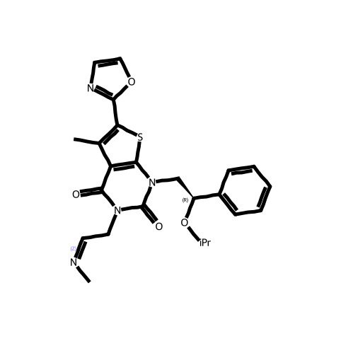 C/N=C\Cn1c(=O)c2c(C)c(-c3ncco3)sc2n(C[C@H](OC(C)C)c2ccccc2)c1=O